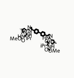 COC(=O)N[C@H](C(=O)N1[C@H](c2ncc(-c3ccc(-c4ccc(-c5cnc([C@@H]6C[C@@H](C)[C@H](C)N6C(=O)[C@@H](NC(=O)OC)C(C)C)[nH]5)cc4)cc3)[nH]2)C[C@@H](C)[C@@H]1C)C(C)C